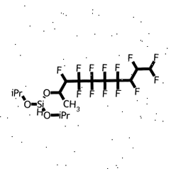 CC(C)O[SiH](OC(C)C)OC(C)C(F)C(F)(F)C(F)(F)C(F)(F)C(F)(F)C(F)C(F)C(F)F